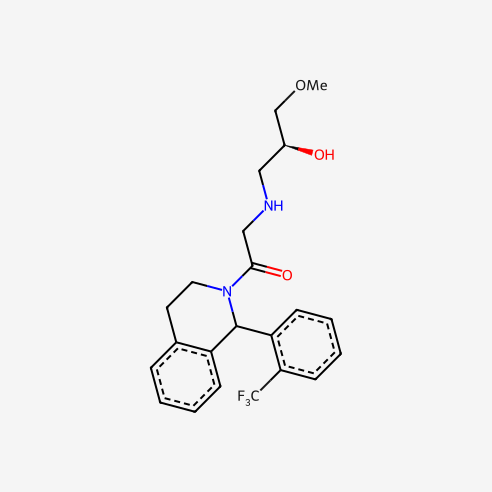 COC[C@@H](O)CNCC(=O)N1CCc2ccccc2C1c1ccccc1C(F)(F)F